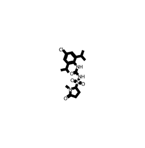 CC(C)c1cc(Cl)cc(C(C)C)c1NC(=O)NS(=O)(=O)C1CCC(=O)N1C